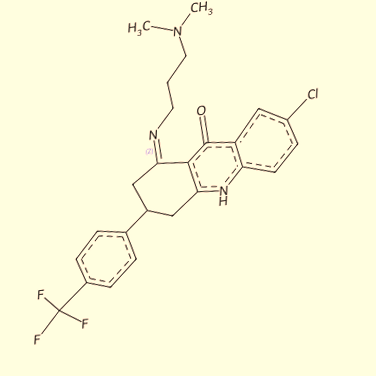 CN(C)CCC/N=C1/CC(c2ccc(C(F)(F)F)cc2)Cc2[nH]c3ccc(Cl)cc3c(=O)c21